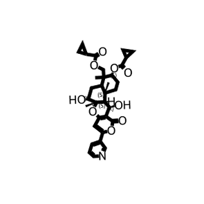 CC1(COC(=O)C2CC2)C2C[C@H](O)[C@@]3(C)Oc4cc(-c5cccnc5)oc(=O)c4[C@H](O)[C@@H]3[C@@]2(C)CC[C@@H]1OC(=O)C1CC1